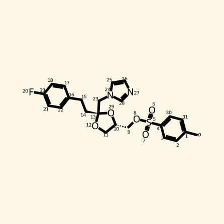 Cc1ccc(S(=O)(=O)OC[C@@H]2CO[C@](CCc3ccc(F)cc3)(Cn3ccnc3)O2)cc1